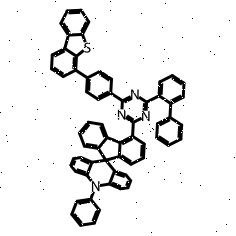 c1ccc(-c2ccccc2-c2nc(-c3ccc(-c4cccc5c4sc4ccccc45)cc3)nc(-c3cccc4c3-c3ccccc3C43c4ccccc4N(c4ccccc4)c4ccccc43)n2)cc1